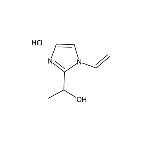 C=Cn1ccnc1C(C)O.Cl